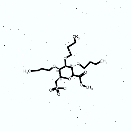 CCCCOC1[C@H](OCCCC)C(C(=O)OC)O[C@@H](CS(=O)(=O)Cl)[C@H]1OCCCC